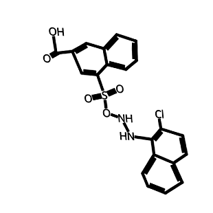 O=C(O)c1cc(S(=O)(=O)ONNc2c(Cl)ccc3ccccc23)c2ccccc2c1